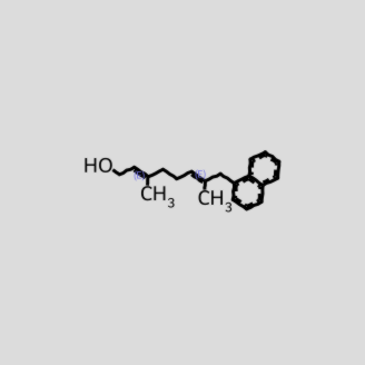 C/C(=C\CO)CC/C=C(\C)Cc1cccc2ccccc12